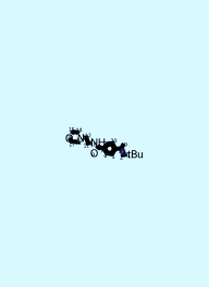 C/C(=C\C(C)(C)C)c1ccc(C(=O)NCCN2CCOCC2)cc1